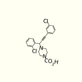 O=C(O)N1CCN(C(C#Cc2cccc(Cl)c2)c2ccccc2Cl)CC1